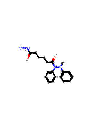 CC(=O)N(c1ccccc1)N(C(=O)CCCCC(=O)NN)c1ccccc1